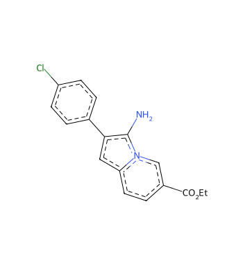 CCOC(=O)c1ccc2cc(-c3ccc(Cl)cc3)c(N)n2c1